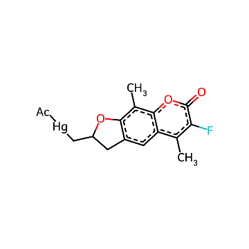 C[C](=O)[Hg][CH2]C1Cc2cc3c(C)c(F)c(=O)oc3c(C)c2O1